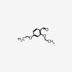 [CH2]COc1ccc(C=O)c(OCC)c1